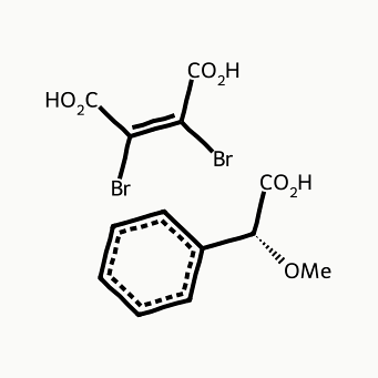 CO[C@@H](C(=O)O)c1ccccc1.O=C(O)/C(Br)=C(/Br)C(=O)O